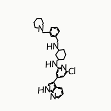 Clc1cc(-c2c[nH]c3ncccc23)cc(NC2CCCC(NCc3cccc(CN4CCCCC4)c3)C2)n1